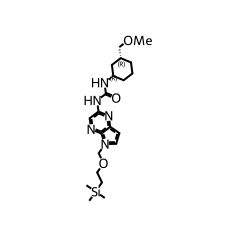 COC[C@@H]1CCC[C@@H](NC(=O)Nc2cnc3c(ccn3COCC[Si](C)(C)C)n2)C1